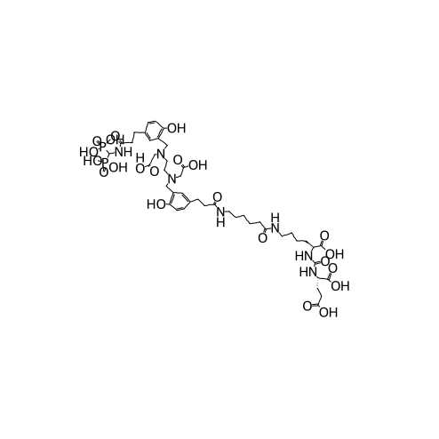 O=C(O)CC[C@H](NC(=O)N[C@@H](CCCCNC(=O)CCCCCNC(=O)CCc1ccc(O)c(CN(CCN(CC(=O)O)Cc2cc(CCC(=O)NC(P(=O)(O)O)P(=O)(O)O)ccc2O)CC(=O)O)c1)C(=O)O)C(=O)O